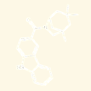 CC1(C)CC2CC(C)(CN2C(=O)c2ccc3[nH]c4ccccc4c3c2)C1